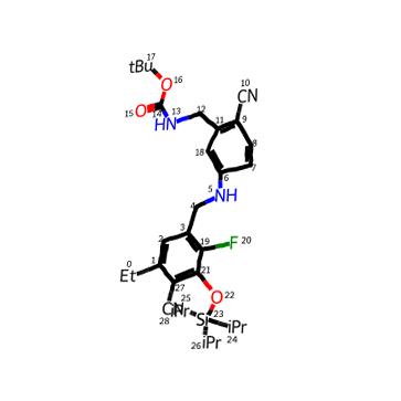 CCc1cc(CNc2ccc(C#N)c(CNC(=O)OC(C)(C)C)c2)c(F)c(O[Si](C(C)C)(C(C)C)C(C)C)c1C#N